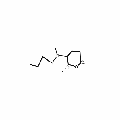 CCCNN(C)C1CC[C@H](C)O[C@@H]1C